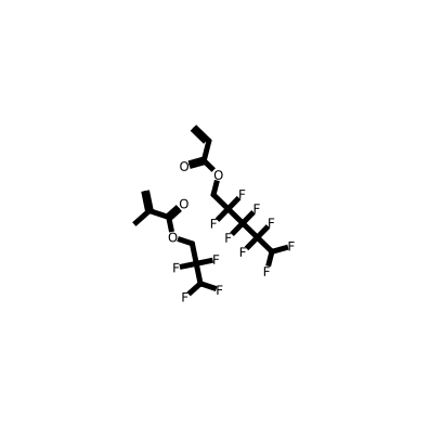 C=C(C)C(=O)OCC(F)(F)C(F)F.C=CC(=O)OCC(F)(F)C(F)(F)C(F)(F)C(F)F